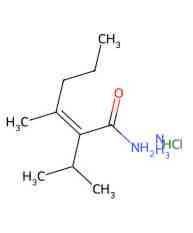 CCCC(C)=C(C(N)=O)C(C)C.Cl.N